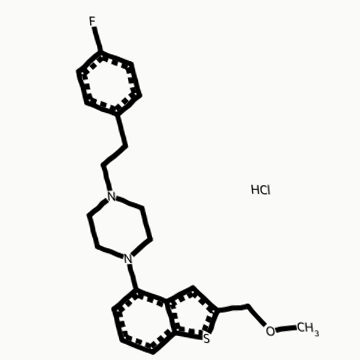 COCc1cc2c(N3CCN(CCc4ccc(F)cc4)CC3)cccc2s1.Cl